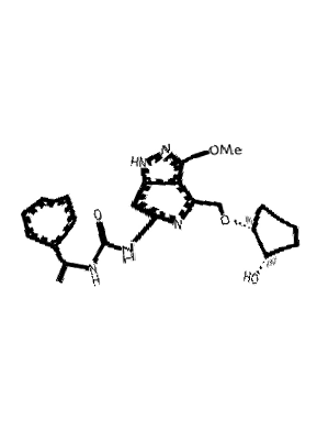 COc1n[nH]c2cc(NC(=O)NC(C)c3ccccc3)nc(CO[C@@H]3CCC[C@@H]3O)c12